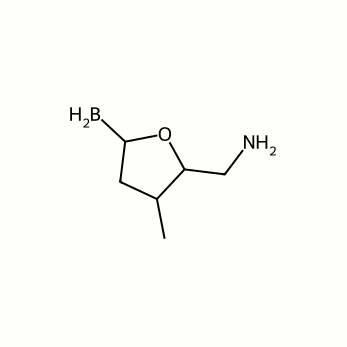 BC1CC(C)C(CN)O1